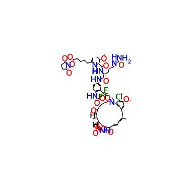 C=C(CCCCC(=O)ON1C(=O)CCC1=O)N[C@H](C(=O)N[C@@H](CCCNC(N)=O)C(=O)Nc1ccc(NC(=O)O[C@H]2CC(=O)N(C)c3cc(cc(OC)c3Cl)C/C(C)=C/C=C/[C@@H](OC)[C@@]3(O)C[C@H](OC(=O)N3)[C@@H](C)[C@@H]3O[C@@]23C)c(C(F)(F)F)c1)C(C)OC